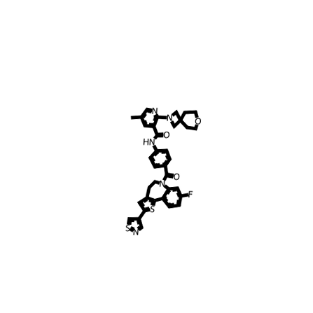 Cc1cnc(N2CC3(CCOCC3)C2)c(C(=O)Nc2ccc(C(=O)N3CCc4cc(-c5cnsc5)sc4-c4ccc(F)cc43)cc2)c1